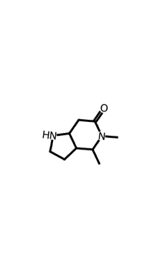 CC1C2CCNC2CC(=O)N1C